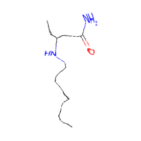 CCCCCNC(C)C(N)=O